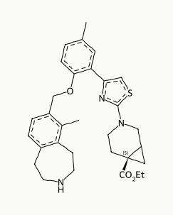 CCOC(=O)[C@@]12CCN(c3nc(-c4cc(C)ccc4OCc4ccc5c(c4C)CCNCC5)cs3)CC1C2